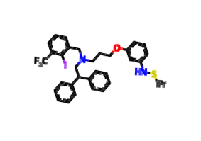 CC(C)SNc1cccc(OCCCN(Cc2cccc(C(F)(F)F)c2I)CC(c2ccccc2)c2ccccc2)c1